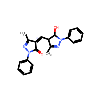 CC1=NN(c2ccccc2)C(=O)/C1=C\C1C(C)=NN(c2ccccc2)C1O